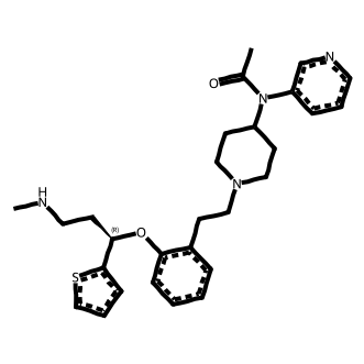 CNCC[C@@H](Oc1ccccc1CCN1CCC(N(C(C)=O)c2cccnc2)CC1)c1cccs1